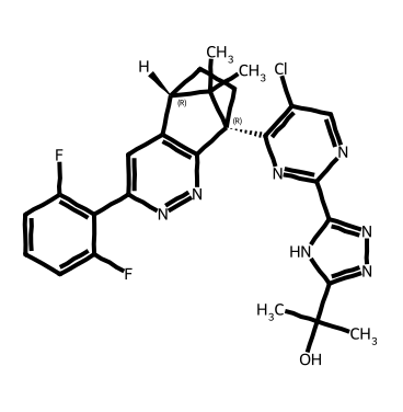 CC(C)(O)c1nnc(-c2ncc(Cl)c([C@]34CC[C@@H](c5cc(-c6c(F)cccc6F)nnc53)C4(C)C)n2)[nH]1